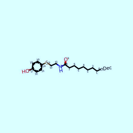 CCCCCCCCCCCCCCCCCC(=O)NCCSc1ccc(O)cc1